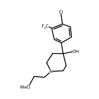 COCCN1CCC(O)(c2ccc(Cl)c(C(F)(F)F)c2)CC1